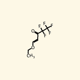 CCOC=CC(=O)C(F)(F)C(F)(F)F